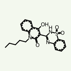 CCCCCn1c(=O)c(C2=Nc3ccccc3S(=O)(=O)N2)c(O)c2ccccc21